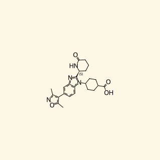 Cc1noc(C)c1-c1ccc2c(c1)nc([C@@H]1CCCC(=O)N1)n2C1CCC(C(=O)O)CC1